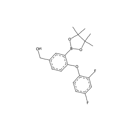 CC1(C)OB(c2cc(CO)ccc2Oc2ccc(F)cc2F)OC1(C)C